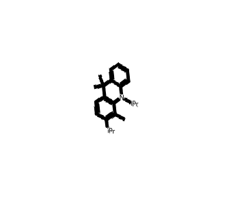 Cc1c(C(C)C)ccc2c1N(C(C)C)c1ccccc1C2(C)C